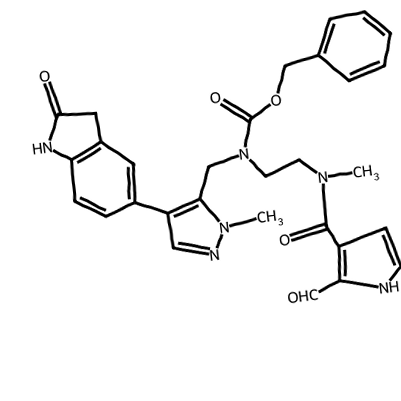 CN(CCN(Cc1c(-c2ccc3c(c2)CC(=O)N3)cnn1C)C(=O)OCc1ccccc1)C(=O)c1cc[nH]c1C=O